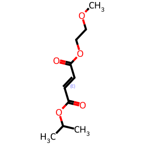 COCCOC(=O)/C=C/C(=O)OC(C)C